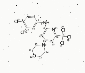 Clc1ccc(Nc2nc(N3CCOCC3)nc(C(Cl)(Cl)Cl)n2)cc1Cl